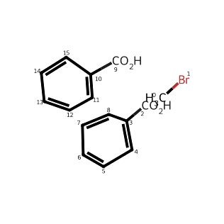 CBr.O=C(O)c1ccccc1.O=C(O)c1ccccc1